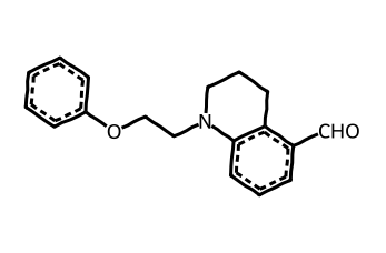 O=Cc1cccc2c1CCCN2CCOc1ccccc1